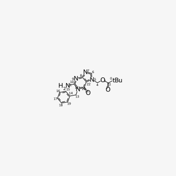 CC(C)(C)C(=O)OCn1cnc2nc(N)n(Cc3ccccc3)c(=O)c21